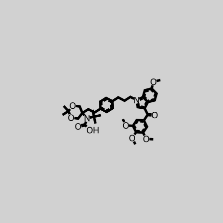 COc1ccc2c(C(=O)c3cc(OC)c(OC)c(OC)c3)cn(CCCc3ccc(CCC4(N(C(=O)O)C(C)(C)C)COC(C)(C)OC4)cc3)c2c1